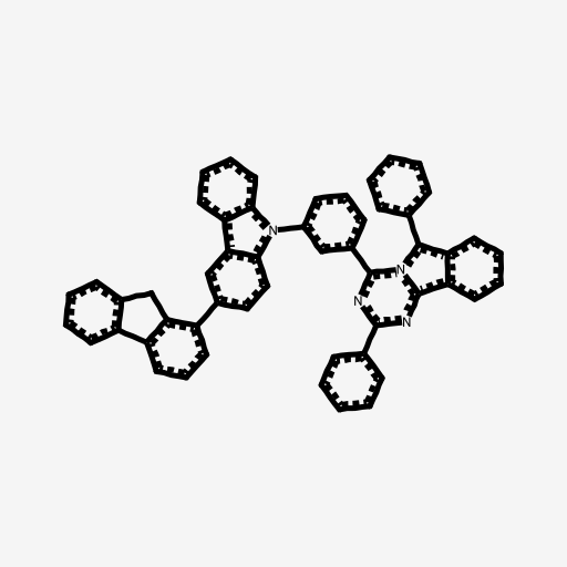 c1ccc(-c2nc(-c3cccc(-n4c5ccccc5c5cc(-c6cccc7c6Cc6ccccc6-7)ccc54)c3)n3c(-c4ccccc4)c4ccccc4c3n2)cc1